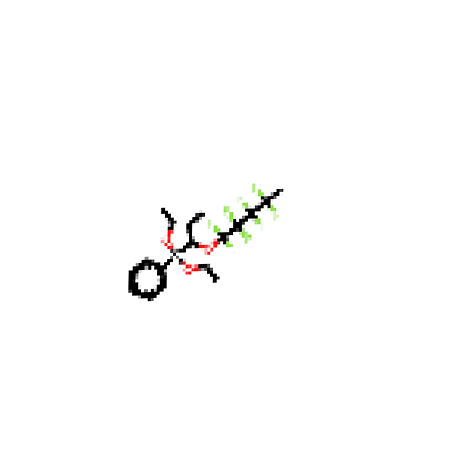 CCO[Si](OCC)(c1ccccc1)C(CC)OC(F)(F)C(F)(F)C(F)(F)C(C)(F)F